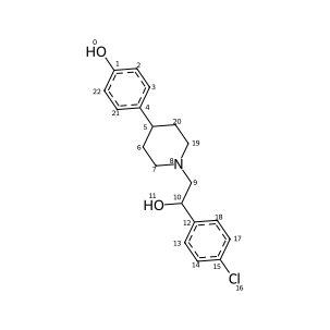 Oc1ccc(C2CCN(CC(O)c3ccc(Cl)cc3)CC2)cc1